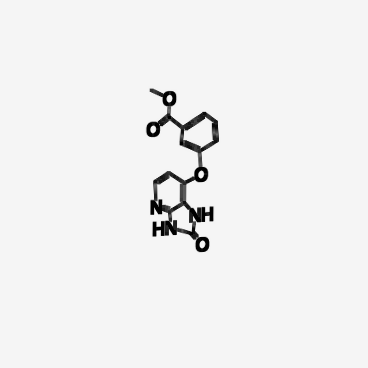 COC(=O)c1cccc(Oc2ccnc3[nH]c(=O)[nH]c23)c1